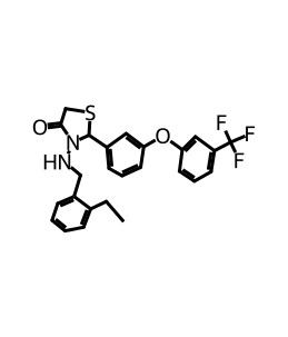 CCc1ccccc1CNN1C(=O)CSC1c1cccc(Oc2cccc(C(F)(F)F)c2)c1